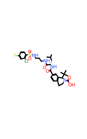 CC(C)C[C@H](NC(=O)c1ccc2c(c1)C(C(C)(C)C)N(C(=O)O)CC2)C(=O)NCCCNS(=O)(=O)c1ccc(F)cc1Cl